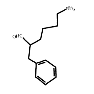 NCCCCC(C=O)Cc1ccccc1